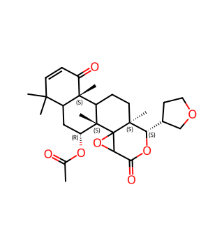 CC(=O)O[C@@H]1CC2C(C)(C)C=CC(=O)[C@]2(C)C2CC[C@@]3(C)[C@H](C4CCOC4)OC(=O)C4OC43[C@@]21C